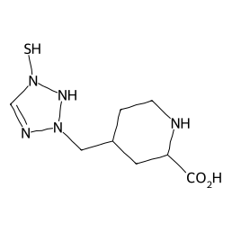 O=C(O)C1CC(CN2N=CN(S)N2)CCN1